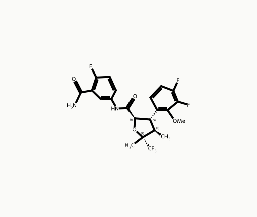 COc1c([C@@H]2[C@@H](C)[C@](C)(C(F)(F)F)O[C@H]2C(=O)Nc2ccc(F)c(C(N)=O)c2)ccc(F)c1F